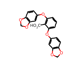 O=C(O)c1c(Oc2ccc3c(c2)OCO3)cccc1Oc1ccc2c(c1)OCO2